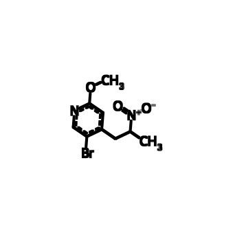 COc1cc(CC(C)[N+](=O)[O-])c(Br)cn1